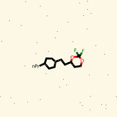 CCCC1CCC(CCC2CCOC(F)(F)O2)CC1